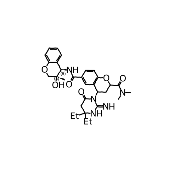 CCC1(CC)CC(=O)N(C2CC(C(=O)N(C)C)Oc3ccc(C(=O)N[C@@H]4c5ccccc5OC[C@@]4(C)O)cc32)C(=N)N1